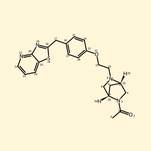 CC(=O)N1C[C@@H]2C[C@H]1CN2CCOc1ccc(Cc2nc3ncccc3s2)cc1